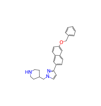 c1ccc(COc2ccc3cc(-c4ccn(CC5CCNCC5)n4)ccc3c2)cc1